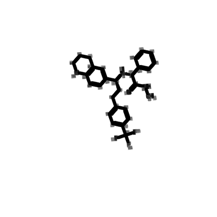 CNC(=O)[C@H](N[C@@H](CCc1ccc(C(F)(F)F)cc1)c1ccc2c(c1)CCCO2)c1ccccc1